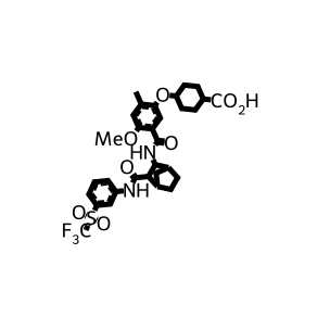 COc1cc(C)c(OC2CCC(C(=O)O)CC2)cc1C(=O)NC1C2CCC(C2)C1C(=O)Nc1cccc(S(=O)(=O)C(F)(F)F)c1